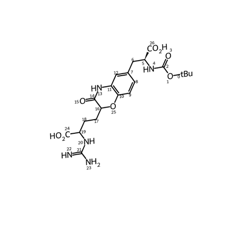 CC(C)(C)OC(=O)N[C@@H](Cc1ccc2c(c1)NC(=O)C(CCC(NC(=N)N)C(=O)O)O2)C(=O)O